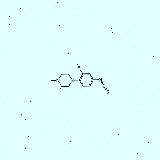 CN1CCN(c2ccc(N=C=S)cc2F)CC1